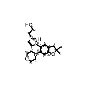 CC1(C)Cc2cc(N3C=CN(CCO)N3)c(N3CCOCC3)cc2O1